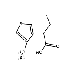 CCCC(=O)O.Cl.Nc1ccsc1